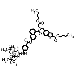 CCCCOC(=O)CN(Cc1ccc2sc(C(=O)OCCCC)cc2c1)C(=O)c1cccc2cc(OC(=O)c3ccc(N/C(=N/C(=O)OC(C)(C)C)NC(=O)OC(C)(C)C)cc3)ccc12